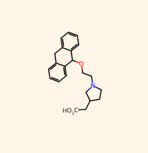 O=C(O)CC1CCN(CCOC2c3ccccc3Cc3ccccc32)C1